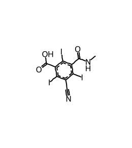 CNC(=O)c1c(I)c(C#N)c(I)c(C(=O)O)c1I